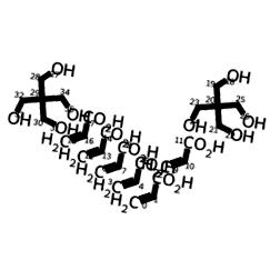 C=CC(=O)O.C=CC(=O)O.C=CC(=O)O.C=CC(=O)O.C=CC(=O)O.C=CC(=O)O.OCC(CO)(CO)CO.OCC(CO)(CO)CO